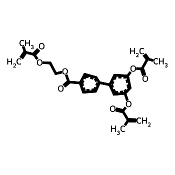 C=C(C)C(=O)OCCOC(=O)c1ccc(-c2cc(OC(=O)C(=C)C)cc(OC(=O)C(=C)C)c2)cc1